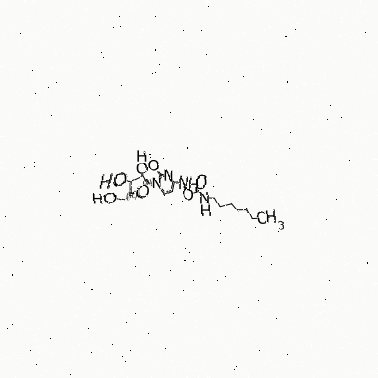 CCCCCCCNC(=O)ONc1ccn([C@@H]2O[C@H](CO)C(O)C2O)c(=O)n1